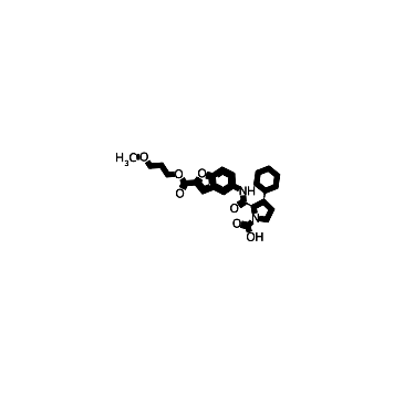 COCCCOC(=O)c1cc2cc(NC(=O)[C@@H]3[C@H](C4CCCCC4)CCN3C(=O)O)ccc2o1